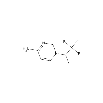 CC(N1C=CC(N)=NC1)C(F)(F)F